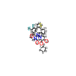 O=C1c2c(OCc3ccccc3)c(=O)ccn2N(C2c3ccccc3-c3sccc3-c3c2ccc(F)c3F)C2COCCN12